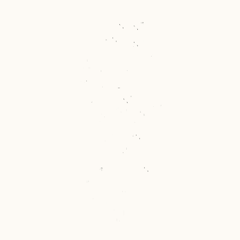 CON=C(C(=O)NC1C(=O)N2CC(CSc3nnnn3C)(C(=O)O)CS[C@H]12)c1cccc(O)c1